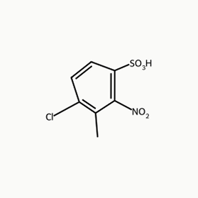 Cc1c(Cl)ccc(S(=O)(=O)O)c1[N+](=O)[O-]